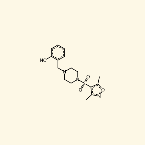 Cc1noc(C)c1S(=O)(=O)N1CCN(Cc2ccccc2C#N)CC1